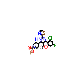 COC(=O)C1=C(C2CCN([SH](=O)=O)CC2)NC(c2nccs2)=NC1c1ccc(F)cc1Cl